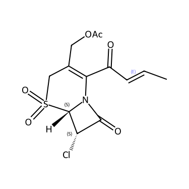 C/C=C/C(=O)C1=C(COC(C)=O)CS(=O)(=O)[C@H]2[C@@H](Cl)C(=O)N12